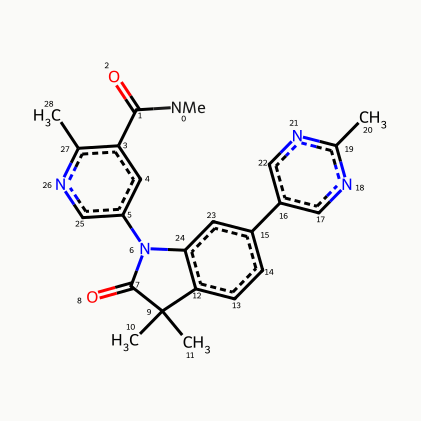 CNC(=O)c1cc(N2C(=O)C(C)(C)c3ccc(-c4cnc(C)nc4)cc32)cnc1C